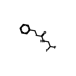 O=C([CH]Cc1ccccc1)NCC(F)F